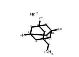 Cl.NCC12CC3(F)CC(F)(CC(F)(C3)C1)C2